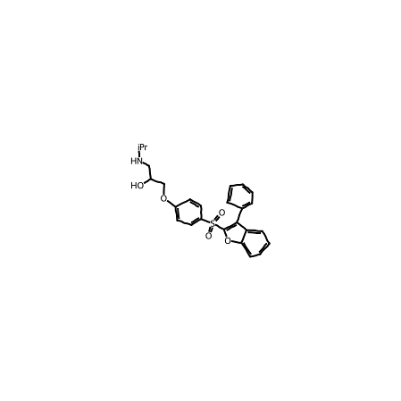 CC(C)NCC(O)COc1ccc(S(=O)(=O)c2oc3ccccc3c2-c2ccccc2)cc1